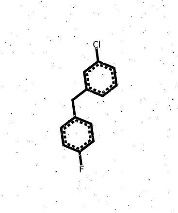 Fc1ccc(Cc2cccc(Cl)c2)cc1